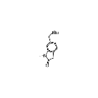 CN1C(=O)Cc2ccc(CC(C)(C)C)cc21